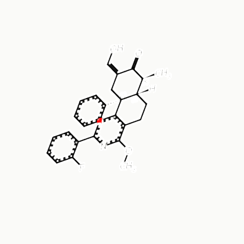 COc1nc(-c2ccccc2F)nc2c1CC[C@H]1[C@H](C)C(=O)C(=CO)C[C@]21c1ccccc1